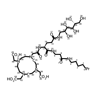 CC(C)CCCCNC(=O)CCNC(=O)[C@H](CCC(=O)NC[C@H](O)[C@@H](O)[C@H](O)[C@H](O)CO)NC(=O)CN1CCN(CC(=O)O)CCN(CC(=O)O)CCN(CC(=O)O)CC1